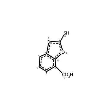 O=C(O)c1cccc2nc(S)oc12